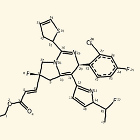 CCOC(=O)/C=C/[C@@]1(F)CC2=C(C3=NC(C(C)F)C=C3)[C@H](c3ccc(F)cc3Cl)N=C(C3CC=CS3)N2C1